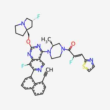 C#Cc1cccc2cccc(-c3ncc4c(N5CCN(C(=O)C(F)=Cc6nccs6)C[C@@H]5C)nc(OC[C@@]56CCCN5C[C@H](F)C6)nc4c3F)c12